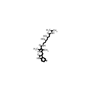 Cc1[nH]c(/C=C2\C(=O)Nc3ccc(F)cc32)c(C)c1C(=O)NCC[C@@H](O)C[C@@H](O)CC(=O)NC(C)C